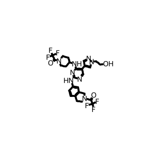 O=C(N1CCC(Nc2nc(Nc3ccc4c(c3)CN(C(=O)C(F)(F)F)CC4)ncc2-c2cnn(CCO)c2)CC1)C(F)(F)F